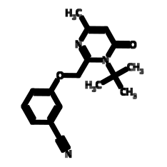 Cc1cc(=O)n(C(C)(C)C)c(COc2cccc(C#N)c2)n1